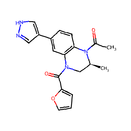 CC(=O)N1c2ccc(-c3cn[nH]c3)cc2N(C(=O)c2ccco2)C[C@@H]1C